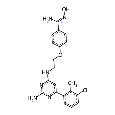 Cc1c(Cl)cccc1-c1cc(NCCOc2ccc(/C(N)=N/O)cc2)nc(N)n1